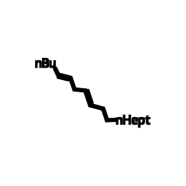 [CH2]CCCCCCCCC=CCC=CCCCC